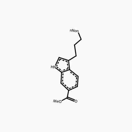 CCCCCCCCCCCCc1c[nH]c2cc(C(=O)OC)ccc12